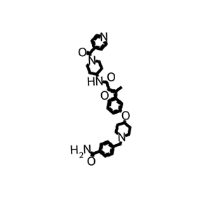 Cc1c(C(=O)NC2CCN(C(=O)c3ccncc3)CC2)oc2ccc(OC3CCN(Cc4ccc(C(N)=O)cc4)CC3)cc12